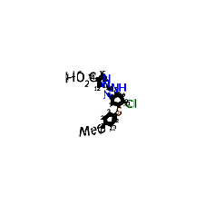 COc1ccc(Sc2cc3nc(-n4cc(C(=O)O)cn4)[nH]c3cc2Cl)cc1